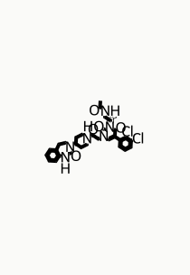 CC(=O)NC[C@H](C)N1C(=O)C(c2cccc(Cl)c2Cl)=CN(CC(=O)N2CCC(N3CCc4ccccc4NC3=O)CC2)C1O